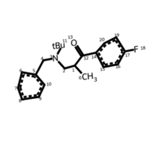 CC(CN(Cc1ccccc1)C(C)(C)C)C(=O)c1ccc(F)cc1